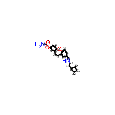 NC(=O)Oc1ccc2c(c1)CCc1cc(CNCCC3CCCC3)ccc1O2